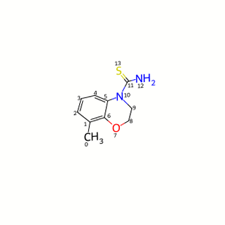 Cc1cccc2c1OCCN2C(N)=S